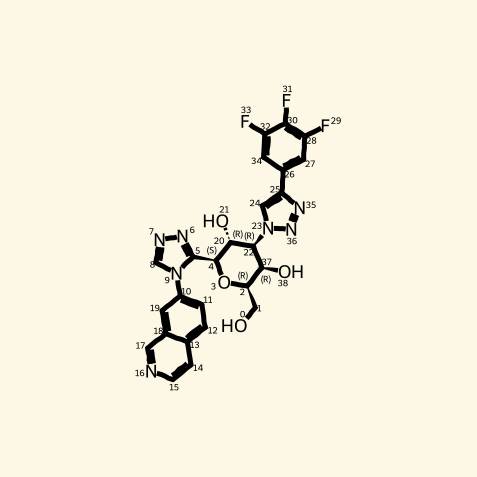 OC[C@H]1O[C@@H](c2nncn2-c2ccc3ccncc3c2)[C@H](O)[C@@H](n2cc(-c3cc(F)c(F)c(F)c3)nn2)[C@H]1O